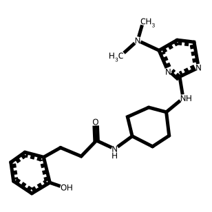 CN(C)c1ccnc(NC2CCC(NC(=O)CCc3ccccc3O)CC2)n1